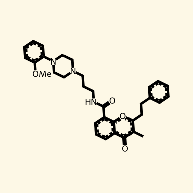 COc1ccccc1N1CCN(CCCNC(=O)c2cccc3c(=O)c(C)c(CCc4ccccc4)oc23)CC1